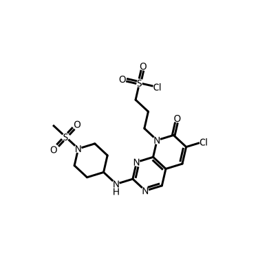 CS(=O)(=O)N1CCC(Nc2ncc3cc(Cl)c(=O)n(CCCS(=O)(=O)Cl)c3n2)CC1